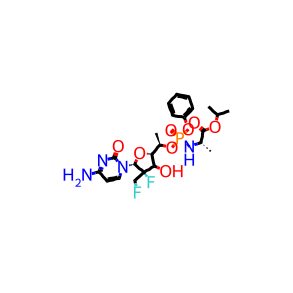 CC(C)OC(=O)[C@H](C)N[P@@](=O)(Oc1ccccc1)O[C@H](C)[C@H]1O[C@@H](n2ccc(N)nc2=O)[C@@](F)(CF)C1O